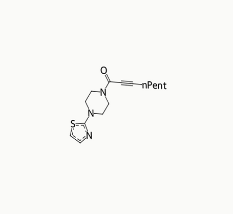 CCCCCC#CC(=O)N1CCN(c2nccs2)CC1